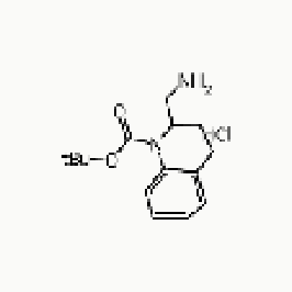 CC(C)(C)OC(=O)N1c2ccccc2CCC1CN.Cl